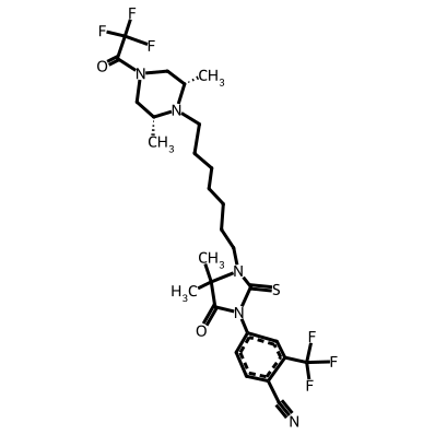 C[C@@H]1CN(C(=O)C(F)(F)F)C[C@H](C)N1CCCCCCCN1C(=S)N(c2ccc(C#N)c(C(F)(F)F)c2)C(=O)C1(C)C